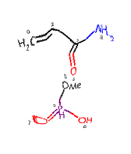 C=CC(N)=O.CO[PH](=O)O